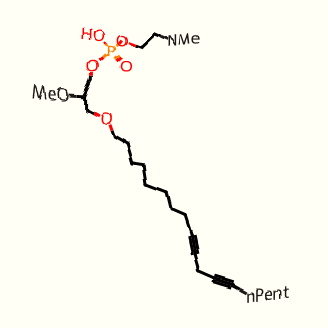 CCCCCC#CCC#CCCCCCCCCOCC(COP(=O)(O)OCCNC)OC